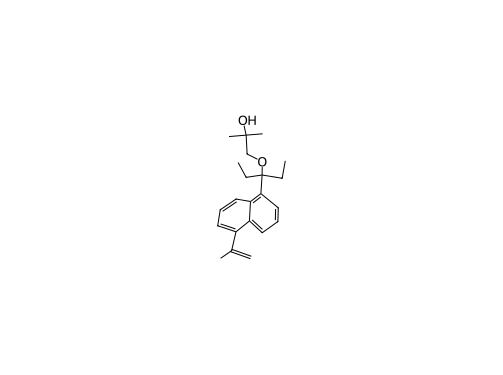 C=C(C)c1cccc2c(C(CC)(CC)OCC(C)(C)O)cccc12